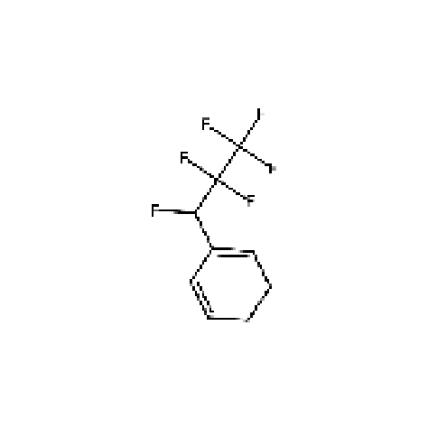 FC(C1=CCCC=C1)C(F)(F)C(F)(F)F